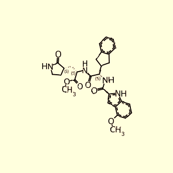 COC(=O)[C@H](C[C@@H]1CCNC1=O)NC(=O)[C@@H](NC(=O)c1cc2c(OC)cccc2[nH]1)C1Cc2ccccc2C1